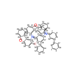 c1ccc(-c2cccc(N(c3ccccc3)c3cc4c5c(c3)N(c3cccc6oc7ccccc7c36)c3c(ccc6oc7ccccc7c36)B5c3ccccc3-4)c2)cc1